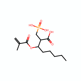 C=C(C)C(=O)OC(CCCCC)C(CP(=O)(O)O)C(=O)O